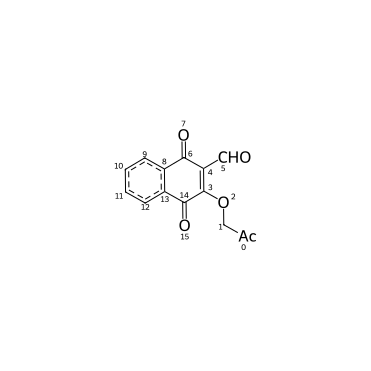 CC(=O)COC1=C(C=O)C(=O)c2ccccc2C1=O